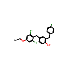 CC(=O)COc1cc(Cl)c(Cc2ccc(O)c(Cc3ccc(F)cc3)c2)c(Cl)c1